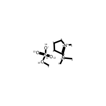 CN(C)C1=[N+](C)CCC1.COS(=O)(=O)[O-]